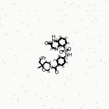 CC(C)CC1(C)CCN(C(=O)c2ccc(NS(=O)(=O)c3cccc4[nH]c(=O)cnc34)cc2)CO1